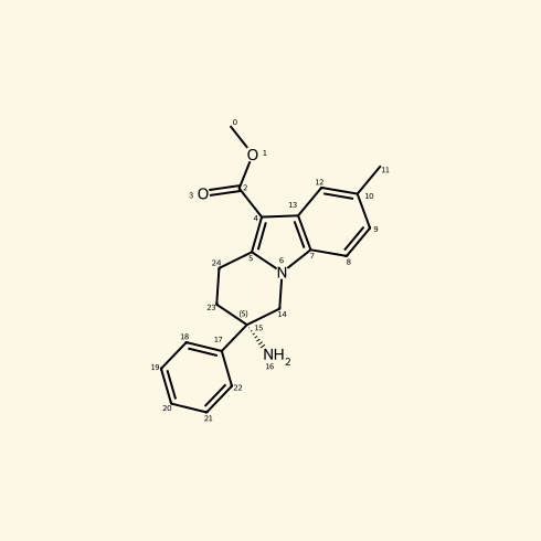 COC(=O)c1c2n(c3ccc(C)cc13)C[C@@](N)(c1ccccc1)CC2